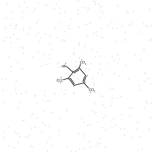 CCC[CH]c1c(C(Cl)(Cl)Cl)cc(C(Cl)(Cl)Cl)cc1C(Cl)(Cl)Cl